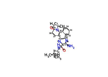 CC(C)n1cc(-c2nc(C(=O)NC[CH2][SnH]([CH3])[CH3])c(N)nc2-c2ccccc2)ccc1=O